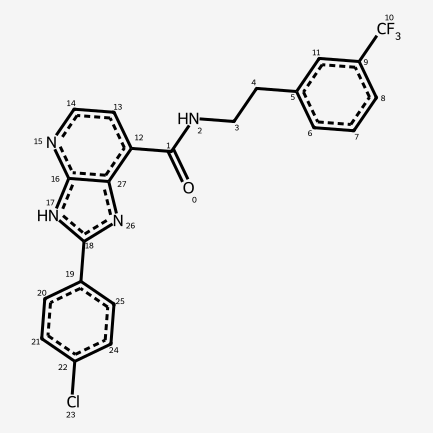 O=C(NCCc1cccc(C(F)(F)F)c1)c1ccnc2[nH]c(-c3ccc(Cl)cc3)nc12